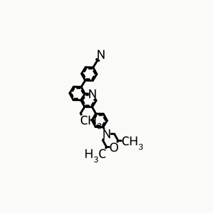 CCc1c(-c2ccc(N3CC(C)OC(C)C3)cc2)cnc2c(-c3ccc(C#N)cc3)cccc12